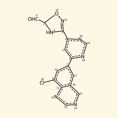 O=CC1NC(c2cc(-c3cc(Cl)c4ncncc4c3)ncn2)=NO1